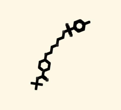 Cc1ccc(S(=O)(=O)OCCOCCOC2CCN(C(=O)OC(C)(C)C)CC2)cc1